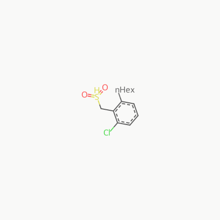 CCCCCCc1cccc(Cl)c1C[SH](=O)=O